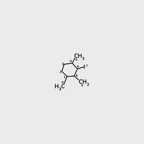 CC1CCC(C)C(I)C1C